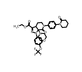 CCOC(=O)C1=NN(c2ccc(OC(F)(F)F)cc2)C2(N3CCOCC3)C(=O)N(c3ccc(N4CCCCC4=O)cc3)CCC12